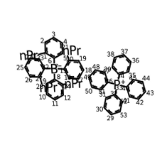 CCCc1ccccc1[B-](c1ccccc1CCC)(c1ccccc1CCC)c1ccccc1CCC.c1ccc([P+](c2ccccc2)(c2ccccc2)c2ccccc2)cc1